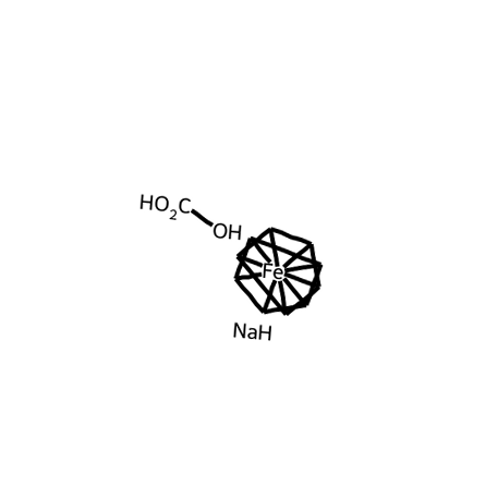 O=C(O)O.[CH]12[CH]3[CH]4[CH]5[CH]1[Fe]23451678[CH]2[CH]1[CH]6[CH]7[CH]28.[NaH]